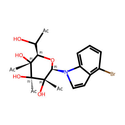 CC(=O)C(O)[C@H]1O[C@@H](n2ccc3c(Br)cccc32)[C@@](O)(C(C)=O)[C@](O)(C(C)=O)[C@@]1(O)C(C)=O